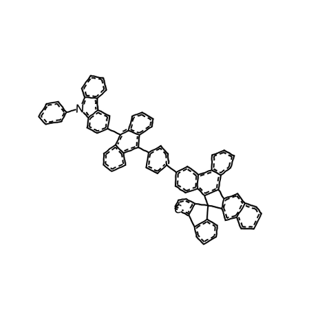 c1ccc(-n2c3ccccc3c3cc(-c4c5ccccc5c(-c5ccc(-c6ccc7c8c(c9ccccc9c7c6)-c6cc7ccccc7cc6C86c7ccccc7-c7ccccc76)cc5)c5ccccc45)ccc32)cc1